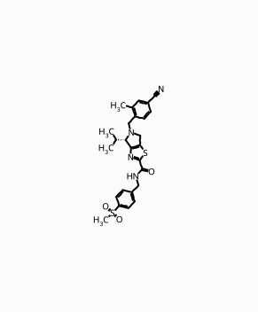 Cc1cc(C#N)ccc1CN1Cc2sc(C(=O)NCc3ccc(S(C)(=O)=O)cc3)nc2[C@@H]1C(C)C